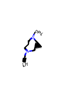 C#CN1CCN(CCC)CC1